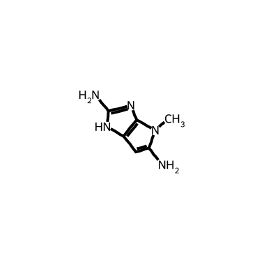 Cn1c(N)cc2[nH]c(N)nc21